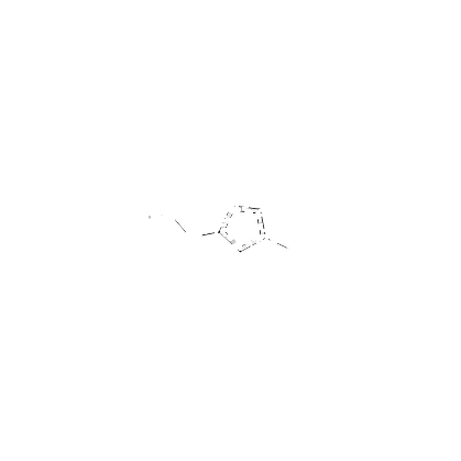 CCCCCSc1cc(C(=O)O)co1